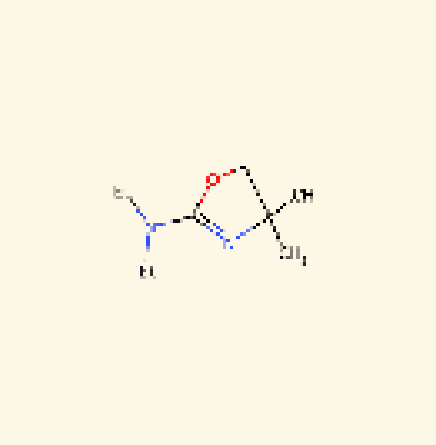 CCN(CC)C1=NC(C)(C)CO1